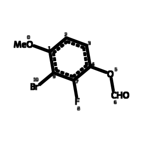 COc1ccc(OC=O)c(F)c1Br